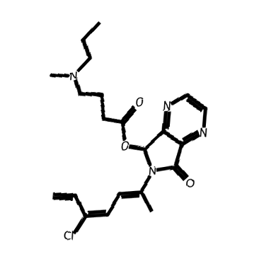 C=C/C(Cl)=C\C=C(/C)N1C(=O)c2nccnc2C1OC(=O)CCCN(C)CCC